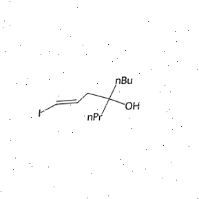 CCCCC(O)(CC=CI)CCC